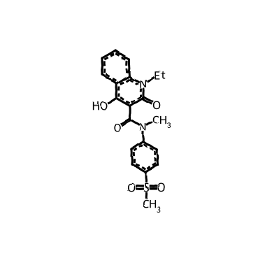 CCn1c(=O)c(C(=O)N(C)c2ccc(S(C)(=O)=O)cc2)c(O)c2ccccc21